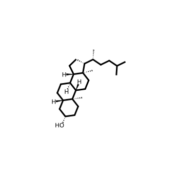 CC(C)CC[C@@H](C)[C@H]1CC[C@H]2[C@@H]3CC[C@H]4C[C@@H](O)CC[C@]4(C)[C@H]3CC[C@]12C